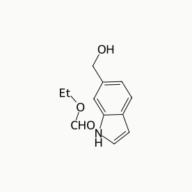 CCOC=O.OCc1ccc2cc[nH]c2c1